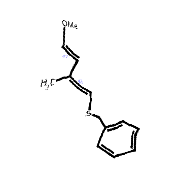 CO/C=C/C(C)=C/Sc1ccccc1